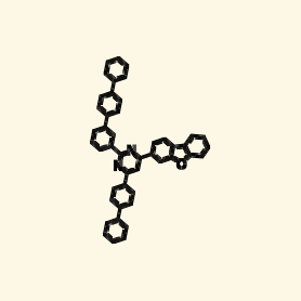 c1ccc(-c2ccc(-c3cccc(-c4nc(-c5ccc(-c6ccccc6)cc5)cc(-c5ccc6c(c5)oc5ccccc56)n4)c3)cc2)cc1